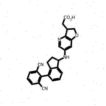 N#Cc1cccc(C#N)c1-c1cccc2c1CCC2Nc1cnc2c(c1)OCC2CC(=O)O